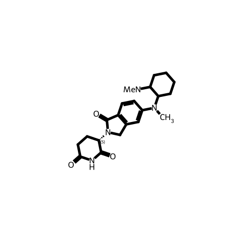 CNC1CCCCC1N(C)c1ccc2c(c1)CN([C@H]1CCC(=O)NC1=O)C2=O